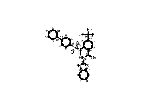 O=C(Nc1nc2ccccc2s1)c1ccc(C(F)(F)F)cc1NS(=O)(=O)c1ccc(-c2ccccc2)cc1